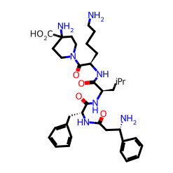 CC(C)C[C@@H](NC(=O)[C@@H](Cc1ccccc1)NC(=O)C[C@H](N)c1ccccc1)C(=O)N[C@H](CCCCN)C(=O)N1CCC(N)(C(=O)O)CC1